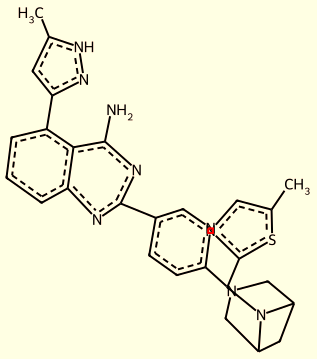 Cc1cc(-c2cccc3nc(-c4ccc(N5CC6CC(C5)N6Cc5ncc(C)s5)nc4)nc(N)c23)n[nH]1